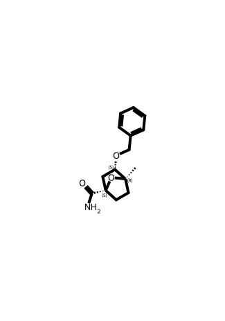 C[C@@]12CC[C@@](C(N)=O)(C[C@@H]1OCc1ccccc1)O2